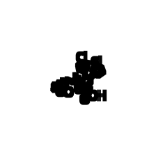 CC(CCN1CC(C)(C)OC1=O)N1C(=O)C(C)(CC(=O)O)CC(c2cccc(Cl)c2)C1c1ccc(Cl)cc1